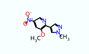 COc1cc([N+](=O)[O-])cnc1-c1cnn(C)c1